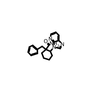 NC(=O)C1(Cc2ccccc2)CCCCC1n1cnc2cccnc21